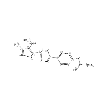 CC(=O)NC(=N)Cc1ccc(-c2ccc(-c3onc(C)c3NC(=O)O)cc2)cc1